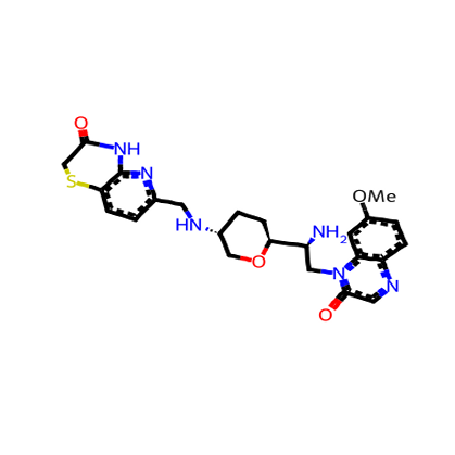 COc1ccc2ncc(=O)n(C[C@H](N)[C@@H]3CC[C@@H](NCc4ccc5c(n4)NC(=O)CS5)CO3)c2c1